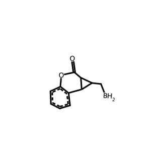 BCC1C2C(=O)Oc3ccccc3C12